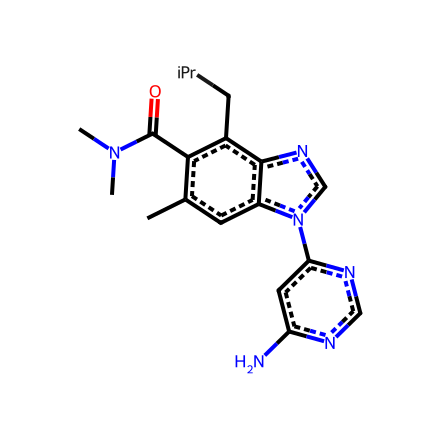 Cc1cc2c(ncn2-c2cc(N)ncn2)c(CC(C)C)c1C(=O)N(C)C